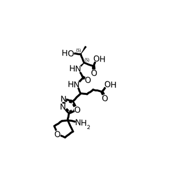 C[C@H](O)[C@H](NC(=O)NC(CCC(=O)O)c1nnc(C2(N)CCOCC2)o1)C(=O)O